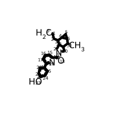 C=CCC1C2CC2C(C)C2CN(C(=O)c3cccc(-c4ccc(O)cc4)n3)CC21